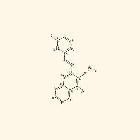 Cc1ccnc(C=Cc2nc3ccccc3c(C)c2C)n1.N